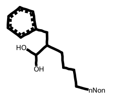 CCCCCCCCCCCCCC(Cc1ccccc1)C(O)O